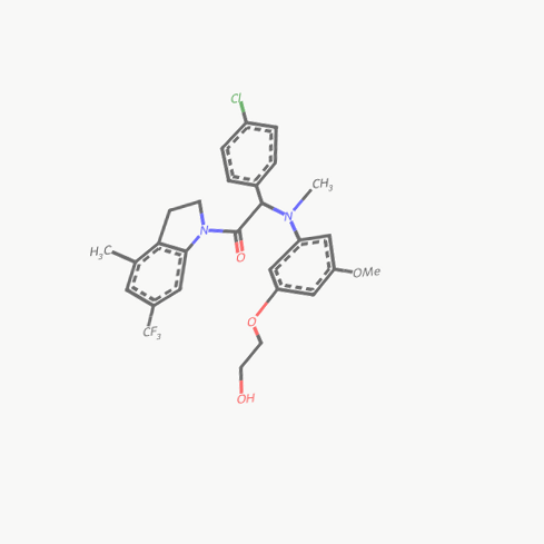 COc1cc(OCCO)cc(N(C)C(C(=O)N2CCc3c(C)cc(C(F)(F)F)cc32)c2ccc(Cl)cc2)c1